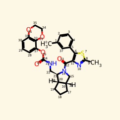 Cc1cccc(-c2sc(C)nc2C(=O)N2C[C@@H]3CCC[C@@H]3[C@H]2CNC(=O)Oc2cccc3c2OCCO3)c1